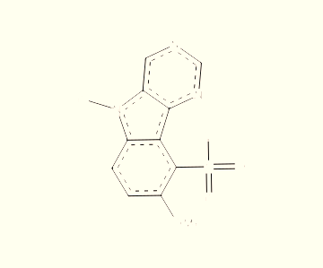 COc1ccc2c(c1S(=O)(=O)Cl)c1ncncc1n2Cl